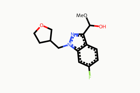 COC(O)c1nn(CC2CCOC2)c2cc(F)ccc12